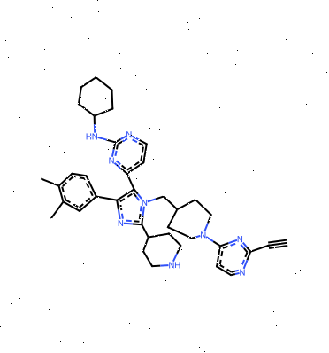 C#Cc1nccc(N2CCC(Cn3c(C4CCNCC4)nc(-c4ccc(C)c(C)c4)c3-c3ccnc(NC4CCCCC4)n3)CC2)n1